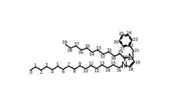 CCCCCCCCCCCCCCCCCN1C=CN(Cc2ccccc2)C1CCCCCCCCCCC